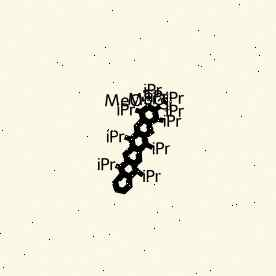 CO[Si](c1c([Si](OC)(C(C)C)C(C)C)c(C(C)C)c2cc3c(C(C)C)c4cc5c(C(C)C)c6ccccc6c(C(C)C)c5cc4c(C(C)C)c3cc2c1C(C)C)(C(C)C)C(C)C